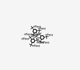 CCCCCC(C)(C)c1cc(C(C)(C)CCCCC)c(OP(Oc2c(C(C)(C)CCCCC)cc(C(C)(C)CCCCC)cc2C(C)(C)CCCCC)Oc2c(C(C)(C)CCCCC)cc(C(C)(C)CCCCC)cc2C(C)(C)CCCCC)c(C(C)(C)CCCCC)c1